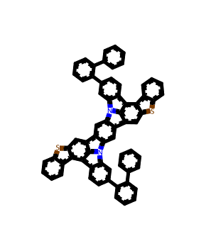 c1ccc(-c2ccccc2-c2ccc3c4c5c(cc6c7cc8c(cc7n(c3c2)c64)c2cc3sc4ccccc4c3c3c4ccc(-c6ccccc6-c6ccccc6)cc4n8c23)sc2ccccc25)cc1